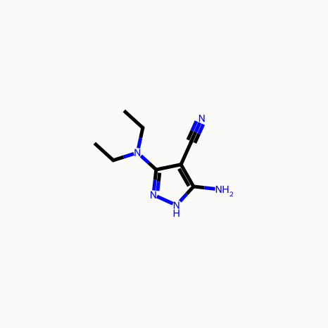 CCN(CC)c1n[nH]c(N)c1C#N